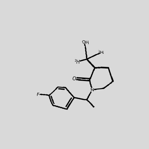 [2H]C([2H])(O)C1CCCN(C(C)c2ccc(F)cc2)C1=O